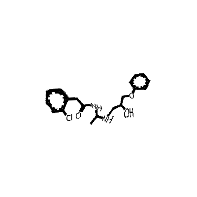 CC(NCC(O)COc1ccccc1)NC(=O)Cc1ccccc1Cl